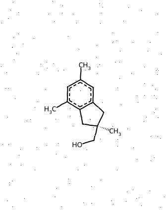 Cc1cc(C)c2c(c1)C[C@@](C)(CO)C2